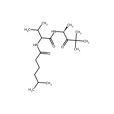 CC(C)CCCC(=O)NC(C(=O)N[C@@H](C)C(=O)C(C)(C)C)C(C)C